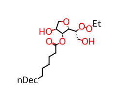 CCCCCCCCCCCCCCCC(=O)O[C@H]1[C@@H]([C@@H](CO)OOCC)OC[C@@H]1O